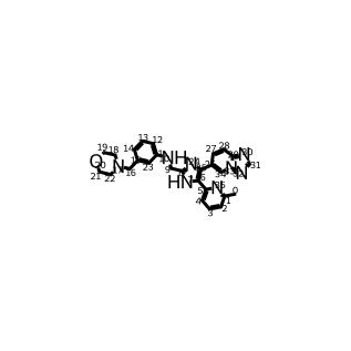 Cc1cccc(-c2[nH]c(CNc3cccc(CN4CCOCC4)c3)nc2-c2ccc3ncnn3c2)n1